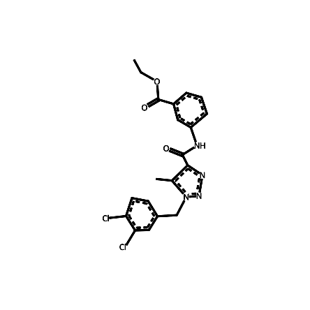 CCOC(=O)c1cccc(NC(=O)c2nnn(Cc3ccc(Cl)c(Cl)c3)c2C)c1